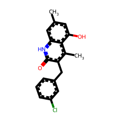 Cc1cc(O)c2c(C)c(Cc3cccc(Cl)c3)c(=O)[nH]c2c1